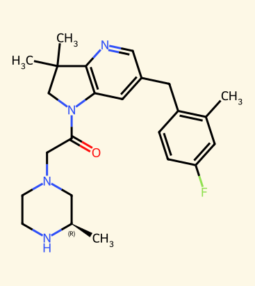 Cc1cc(F)ccc1Cc1cnc2c(c1)N(C(=O)CN1CCN[C@H](C)C1)CC2(C)C